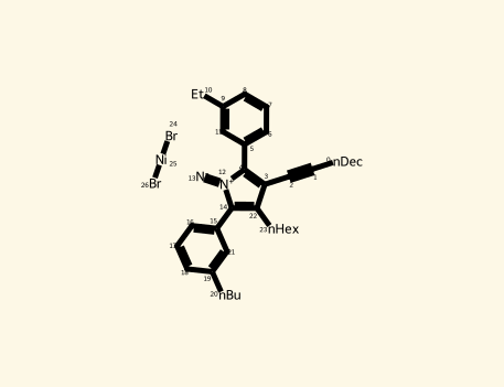 CCCCCCCCCCC#CC1=C(c2cccc(CC)c2)[N+](=[N-])C(c2cccc(CCCC)c2)=C1CCCCCC.[Br][Ni][Br]